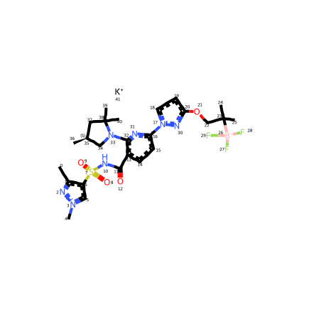 Cc1nn(C)cc1S(=O)(=O)NC(=O)c1ccc(-n2ccc(OCC(C)(C)[B-](F)(F)F)n2)nc1N1C[C@@H](C)CC1(C)C.[K+]